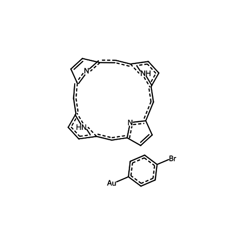 Brc1cc[c]([Au])cc1.C1=Cc2cc3ccc(cc4nc(cc5ccc(cc1n2)[nH]5)C=C4)[nH]3